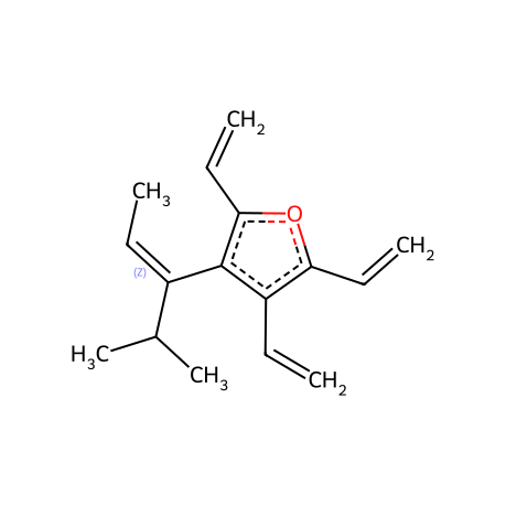 C=Cc1oc(C=C)c(/C(=C\C)C(C)C)c1C=C